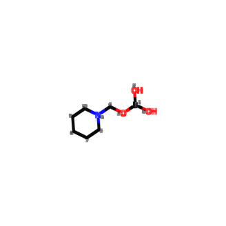 OB(O)OCN1CCCCC1